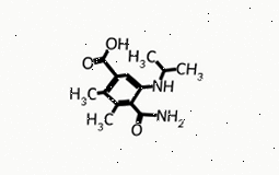 Cc1c(C(=O)O)cc(NC(C)C)c(C(N)=O)c1C